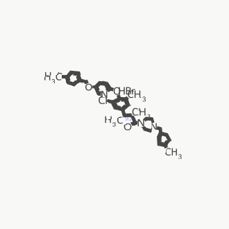 Br.C/C(C(=O)N1CCN(Cc2ccc(C)cc2)CC1)=C(/C)c1cc(C)c(Oc2ccc(OCc3ccc(C)cc3)cn2)c(Cl)c1